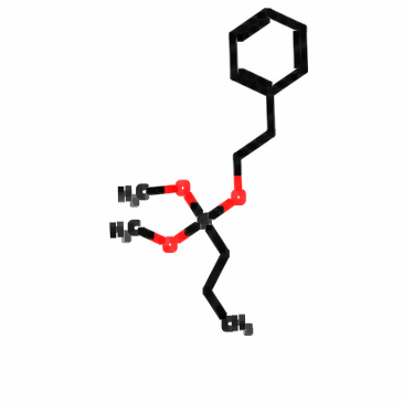 CCC[Si](OC)(OC)OCCc1ccccc1